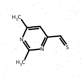 Cc1cc([C]=S)nc(C)n1